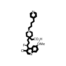 COc1ccc2ncc(Cl)c([C@@H](F)CCC3(CC(=O)O)CCN(CCCCc4ccncc4)CC3)c2c1